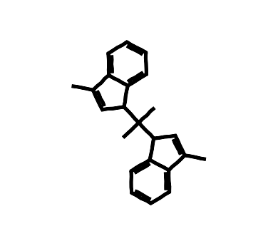 CC1=CC(C(C)(C)C2C=C(C)c3ccccc32)c2ccccc21